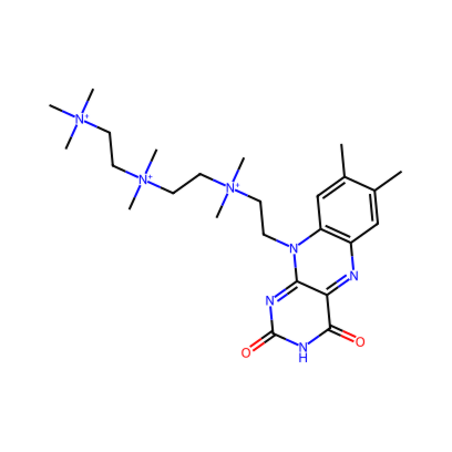 Cc1cc2nc3c(=O)[nH]c(=O)nc-3n(CC[N+](C)(C)CC[N+](C)(C)CC[N+](C)(C)C)c2cc1C